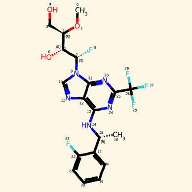 CO[C@H](CO)[C@@H](O)[C@H](F)n1cnc2c(N[C@H](C)c3ccccc3F)nc(C(F)(F)F)nc21